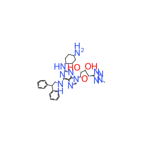 Cn1nnc([C@H]2O[C@@H](n3cnc4c(NCC(c5ccccc5)c5ccccc5)nc(NC5CCC(N)CC5)nc43)[C@H](O)[C@@H]2O)n1